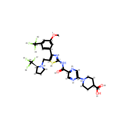 COc1cc(-c2nc(NC(=O)c3cnc(N4CCC(C(=O)O)CC4)cn3)sc2CN2CCC[C@H]2C(F)(F)F)cc(C(F)(F)F)c1